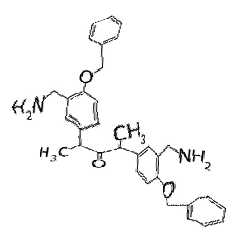 CC(C(=O)C(C)c1ccc(OCc2ccccc2)c(CN)c1)c1ccc(OCc2ccccc2)c(CN)c1